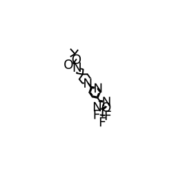 CC(C)(C)OC(=O)N1CC2(CCN(c3ccc(-c4noc(C(F)(F)F)n4)cn3)CC2)C1